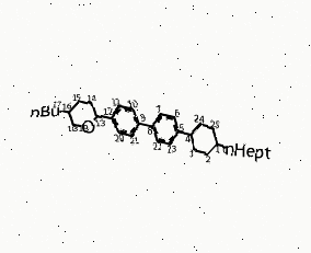 CCCCCCCC1CCC(c2ccc(-c3ccc(C4CCC(CCCC)CO4)cc3)cc2)CC1